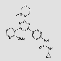 CSc1ncccc1-c1cc(-c2ccc(NC(=O)NC3CC3)cc2)nc(N2CCOC[C@@H]2C)n1